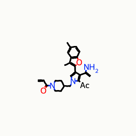 C=CC(=O)N1CCC(Cn2cc(-c3oc4ccc(C)cc4c3C)c(C(=C)N)c2C(C)=O)CC1